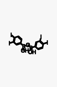 OB(OB(O)c1ccc(I)c(I)c1)c1ccc(I)c(I)c1